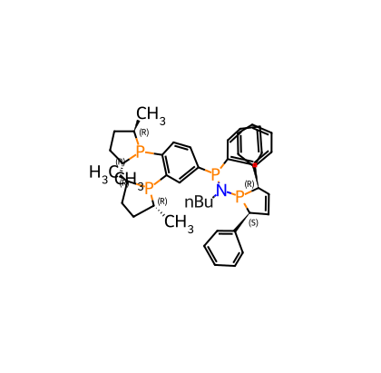 CCCCN(P(c1ccccc1)c1ccc(P2[C@H](C)CC[C@H]2C)c(P2[C@H](C)CC[C@H]2C)c1)P1[C@@H](c2ccccc2)C=C[C@H]1c1ccccc1